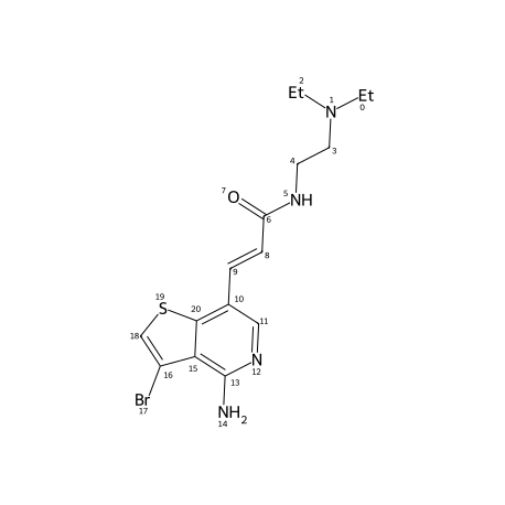 CCN(CC)CCNC(=O)/C=C/c1cnc(N)c2c(Br)csc12